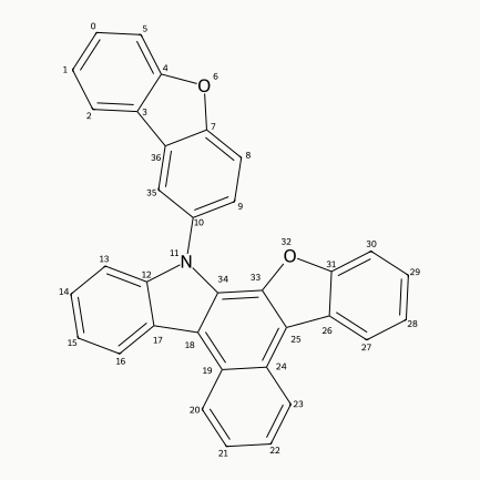 c1ccc2c(c1)oc1ccc(-n3c4ccccc4c4c5ccccc5c5c6ccccc6oc5c43)cc12